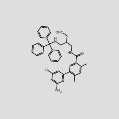 Cc1cc(C)c(-c2cc(Cl)nc(N)n2)cc1C(=O)NCC(CC=O)CNC(c1ccccc1)(c1ccccc1)c1ccccc1